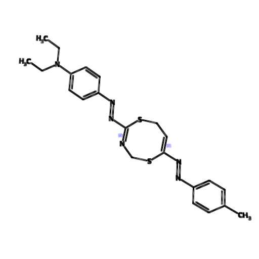 CCN(CC)c1ccc(N=N/C2=N/CS/C(N=Nc3ccc(C)cc3)=C\CS2)cc1